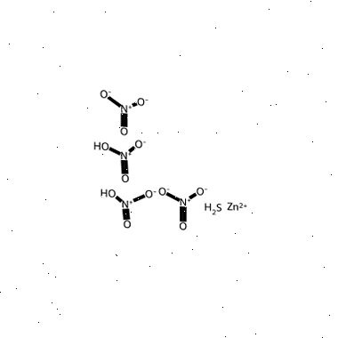 O=[N+]([O-])O.O=[N+]([O-])O.O=[N+]([O-])[O-].O=[N+]([O-])[O-].S.[Zn+2]